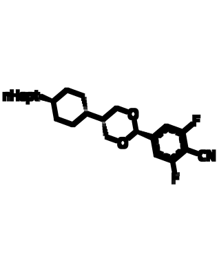 CCCCCCC[C@H]1CC[C@H]([C@H]2CO[C@H](c3cc(F)c(C#N)c(F)c3)OC2)CC1